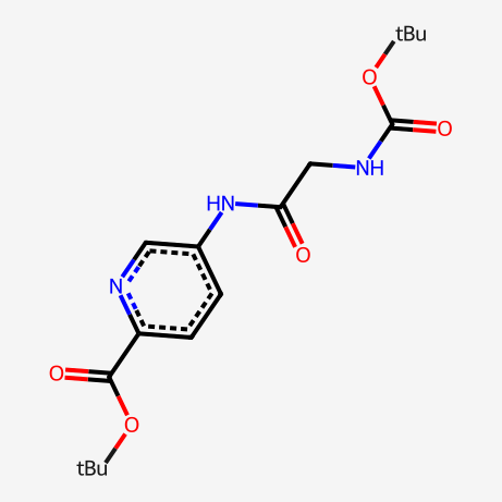 CC(C)(C)OC(=O)NCC(=O)Nc1ccc(C(=O)OC(C)(C)C)nc1